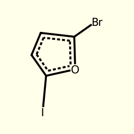 Brc1ccc(I)o1